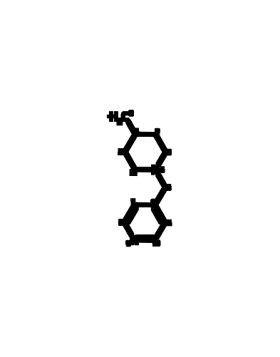 [CH2]C1CCN(Cc2ccncc2)CC1